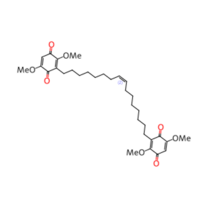 COC1=CC(=O)C(OC)=C(CCCCCCC/C=C\CCCCCCCC2=C(OC)C(=O)C=C(OC)C2=O)C1=O